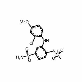 COc1ccc(Nc2cc(S(N)(=O)=O)ccc2NS(C)(=O)=O)c(Cl)c1